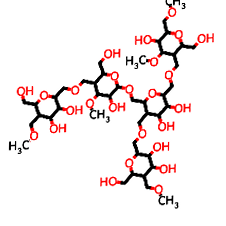 COCC1OC(CO)C(COCC2OC(COC3OC(CO)C(COCC4OC(CO)C(COC)C(O)C4O)C(OC)C3O)C(COCC3OC(CO)C(COC)C(O)C3O)C(O)C2O)C(OC)C1O